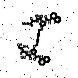 CN[C@@H](C)C(=O)N[C@H](C(=O)N1C[C@@H](OCC#CC#CCO[C@H]2C[C@@H](C(=O)N[C@@H]3CCCc4ccccc43)N(C(=O)[C@@H](NC(=O)[C@@H](N)CO)C(C)(C)C)C2)C[C@H]1C(=O)NC1CCCc2ccccc21)C(C)(C)C